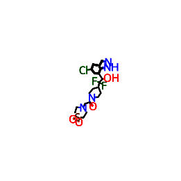 O=C(CN1CCS(=O)(=O)CC1)N1CCC(C(F)(F)C(O)c2cc(Cl)cc3cn[nH]c23)CC1